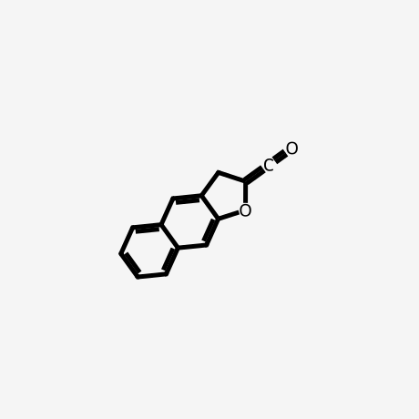 O=C=C1Cc2cc3ccccc3cc2O1